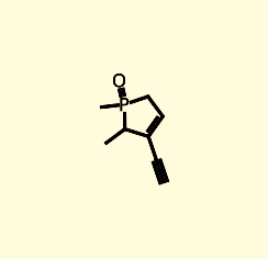 C#CC1=CCP(C)(=O)C1C